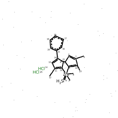 CC1=CC(C)[C]([Zr]([CH3])([CH3])(=[SiH2])[C]2=C(C)C=C(c3ccccc3)C2)=C1C.Cl.Cl